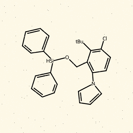 CC(C)(C)c1c(Cl)ccc(-n2cccc2)c1CO[SiH](c1ccccc1)c1ccccc1